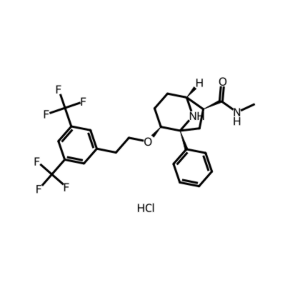 CNC(=O)[C@H]1C[C@@]2(c3ccccc3)N[C@@H]1CC[C@@H]2OCCc1cc(C(F)(F)F)cc(C(F)(F)F)c1.Cl